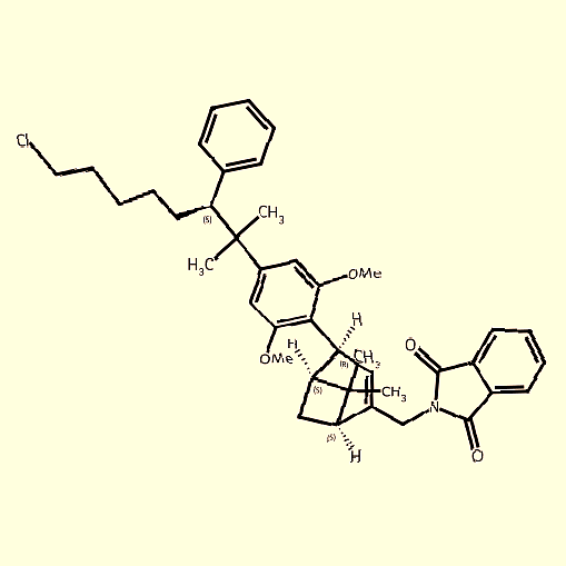 COc1cc(C(C)(C)[C@@H](CCCCCCl)c2ccccc2)cc(OC)c1[C@H]1C=C(CN2C(=O)c3ccccc3C2=O)[C@H]2C[C@@H]1C2(C)C